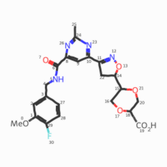 COc1cc(CNC(=O)c2cc(C3=NOC(C4COC(C(=O)O)CO4)C3)nc(C)n2)ccc1F